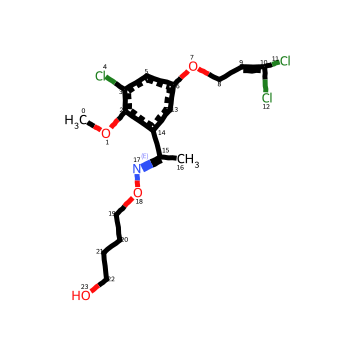 COc1c(Cl)cc(OCC=C(Cl)Cl)cc1/C(C)=N/OCCCCO